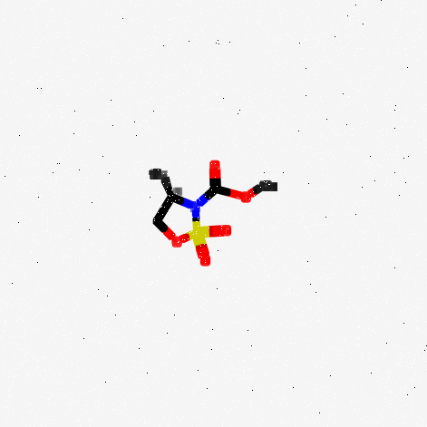 CC(C)(C)OC(=O)N1[C@H](C(C)(C)C)COS1(=O)=O